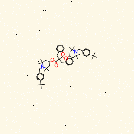 CC(C)(C)c1ccc(CN2C(C)(C)CC(OC(=O)C(Cc3ccccc3)(Cc3ccccc3)C(=O)OC3CC(C)(C)N(Cc4ccc(C(C)(C)C)cc4)C(C)(C)C3)CC2(C)C)cc1